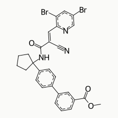 COC(=O)c1cccc(-c2ccc(C3(NC(=O)C(C#N)=Cc4ncc(Br)cc4Br)CCCC3)cc2)c1